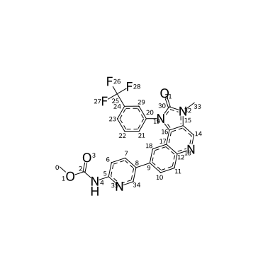 COC(=O)Nc1ccc(-c2ccc3ncc4c(c3c2)n(-c2cccc(C(F)(F)F)c2)c(=O)n4C)cn1